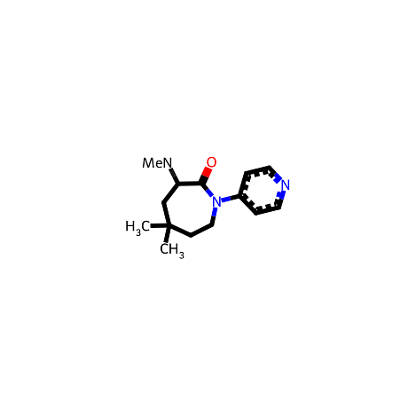 CNC1CC(C)(C)CCN(c2ccncc2)C1=O